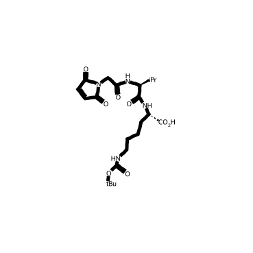 CC(C)[C@H](NC(=O)CN1C(=O)C=CC1=O)C(=O)N[C@@H](CCCCNC(=O)OC(C)(C)C)C(=O)O